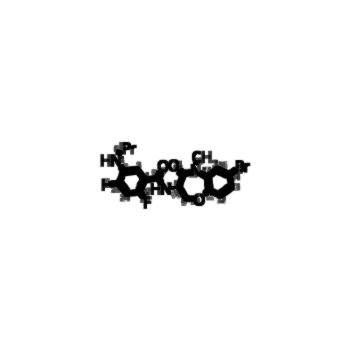 CC(C)Nc1cc(C(=O)N[C@H]2COc3ccc(Br)cc3N(C)C2=O)c(F)cc1F